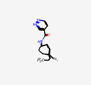 CCC1(C)CCC(NC(=O)c2ccnnc2)CC1